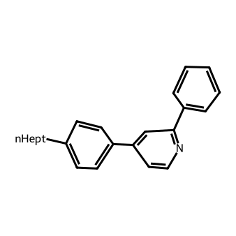 CCCCCCCc1ccc(-c2ccnc(-c3ccccc3)c2)cc1